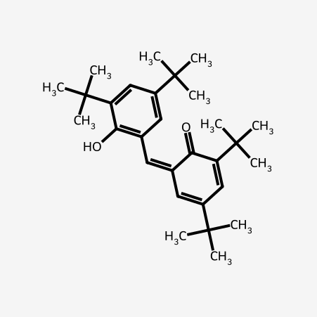 CC(C)(C)C1=CC(=Cc2cc(C(C)(C)C)cc(C(C)(C)C)c2O)C(=O)C(C(C)(C)C)=C1